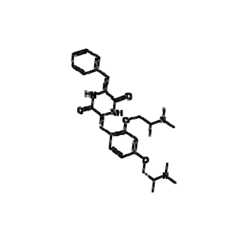 CC(COc1ccc(C=c2[nH]c(=O)c(=Cc3ccccc3)[nH]c2=O)c(OCC(C)N(C)C)c1)N(C)C